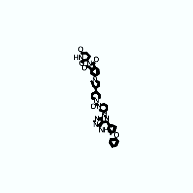 Nc1ncnc2c1c(-c1ccc(Oc3ccccc3)cc1)nn2[C@@H]1CCCN(C(=O)N2CCC(C3CCN(c4ccc5c(c4)C(=O)N(C4CCC(=O)NC4=O)C5=O)CC3)CC2)C1